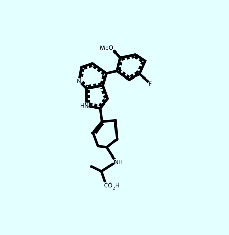 COc1ccc(F)cc1-c1ccnc2[nH]c(C3=CCC(NC(C)C(=O)O)CC3)cc12